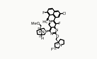 C#Cc1c(F)ccc2cc(Cl)cc(-c3ncc4c(N5C[C@@H]6CC[C@](COC)(C5)N6)nc(OC[C@@]56CCCN5C[C@H](F)C6)nc4c3F)c12